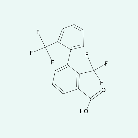 O=C(O)c1cccc(-c2ccccc2C(F)(F)F)c1C(F)(F)F